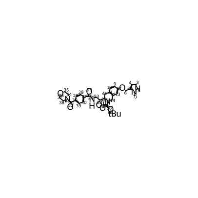 Cn1nccc1COc1ccc2c(c1)CN(C(=O)OC(C)(C)C)C([C@H](O)CNC(=O)c1ccc(C(=O)N3CCOCC3)cc1)C2